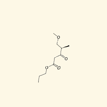 CCCOC(=O)CC(=O)[C@H](C)COC